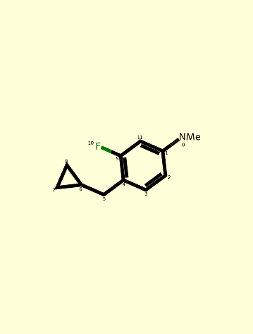 CNc1ccc(CC2CC2)c(F)c1